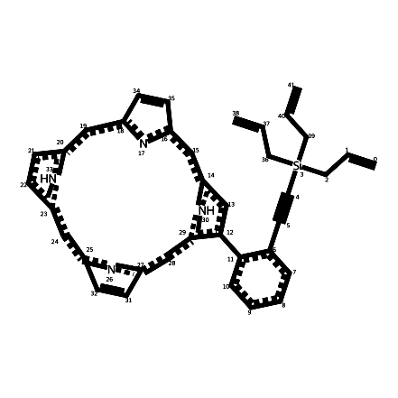 C=CC[Si](C#Cc1ccccc1-c1cc2cc3nc(cc4ccc(cc5nc(cc1[nH]2)C=C5)[nH]4)C=C3)(CC=C)CC=C